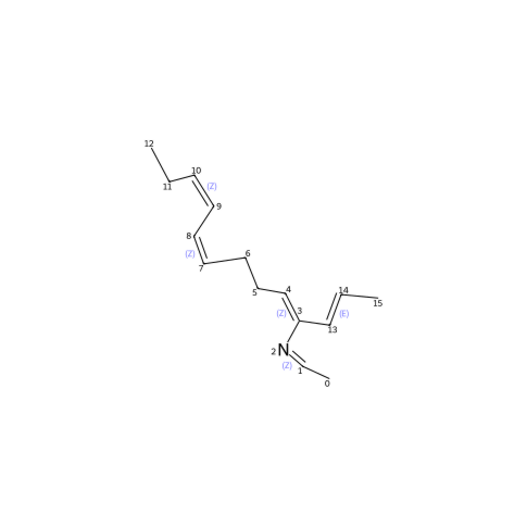 C\C=N/C(=C\CC/C=C\C=C/CC)/C=C/C